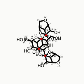 COC1CC(CO)OC(OC2C3COC2C(O)C(OC2C(O)C(OC4C5COC4C(O)C(OC)O5)OC(C(=O)O)C2O)O3)C1O